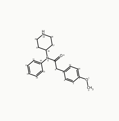 COc1ccc(CC(=O)N(c2ccccc2)C2CCNCC2)cc1